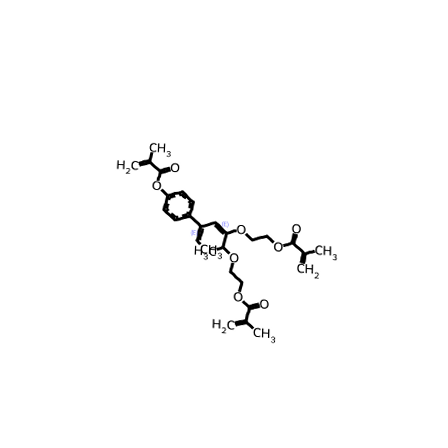 C=C(C)C(=O)OCCO/C(=C/C(=C\C)c1ccc(OC(=O)C(=C)C)cc1)C(C)OCCOC(=O)C(=C)C